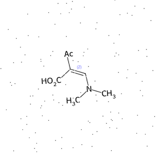 CC(=O)/C(=C/N(C)C)C(=O)O